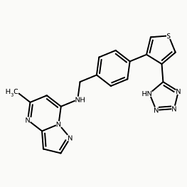 Cc1cc(NCc2ccc(-c3cscc3-c3nnn[nH]3)cc2)n2nccc2n1